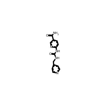 NC(=O)c1ccc(NC(=O)NCc2ccncc2)nc1